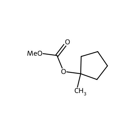 [CH2]OC(=O)OC1(C)CCCC1